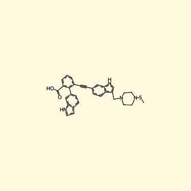 CSN1CCN(Cc2c[nH]c3cc(C#Cc4cccc(C(=O)O)c4-c4ccc5cc[nH]c5c4)ccc23)CC1